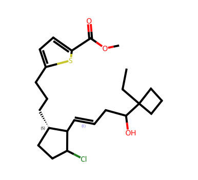 CCC1(C(O)C/C=C/C2C(Cl)CC[C@@H]2CCCc2ccc(C(=O)OC)s2)CCC1